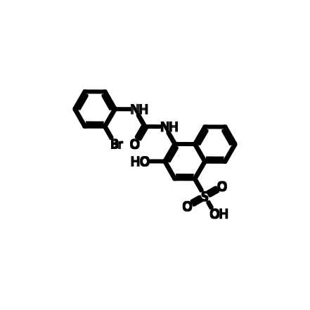 O=C(Nc1ccccc1Br)Nc1c(O)cc(S(=O)(=O)O)c2ccccc12